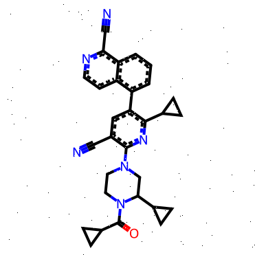 N#Cc1cc(-c2cccc3c(C#N)nccc23)c(C2CC2)nc1N1CCN(C(=O)C2CC2)C(C2CC2)C1